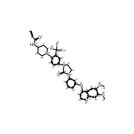 C=CC(=O)NC1CCN(c2ccc(N3CCN(c4cccc(Oc5ccnc6cc(OC)c(OC)cc56)c4)C3=O)cc2C(F)(F)F)CC1